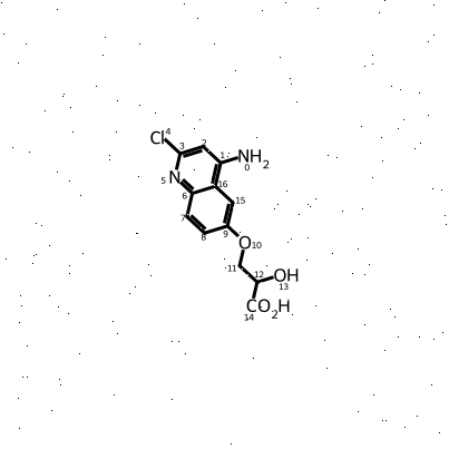 Nc1cc(Cl)nc2ccc(OCC(O)C(=O)O)cc12